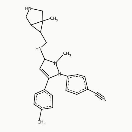 Cc1ccc(C2=CC(NCC3C4CNCC43C)N(C)N2c2ccc(C#N)cc2)cc1